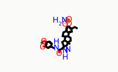 CCc1cc2c(cc1OS(N)(=O)=O)CCC1C2CCC2(C)c3n[nH]c(C(=O)NCc4ccc5c(c4)OCO5)c3CC12